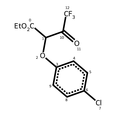 CCOC(=O)C(Oc1ccc(Cl)cc1)C(=O)C(F)(F)F